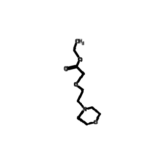 CCOC(=O)COCCN1CCOCC1